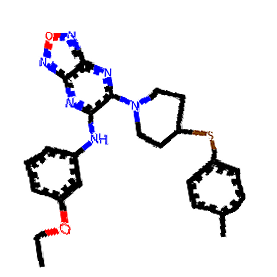 CCOc1cccc(Nc2nc3nonc3nc2N2CCC(Sc3ccc(C)cc3)CC2)c1